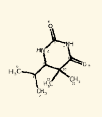 CC(C)C1NC(=O)NC(=O)C1(C)C